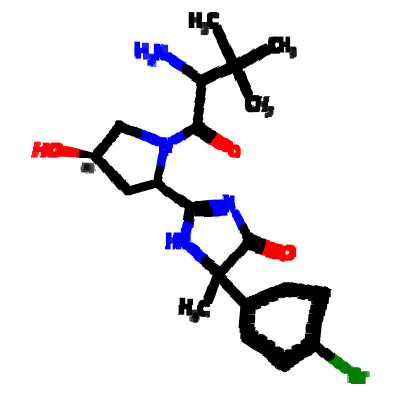 CC1(c2ccc(Br)cc2)NC(C2C[C@@H](O)CN2C(=O)C(N)C(C)(C)C)=NC1=O